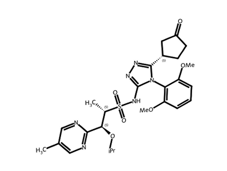 COc1cccc(OC)c1-n1c(NS(=O)(=O)[C@@H](C)[C@@H](OC(C)C)c2ncc(C)cn2)nnc1[C@H]1CCC(=O)C1